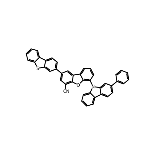 N#Cc1cc(-c2ccc3c(c2)sc2ccccc23)cc2c1oc1c(-n3c4ccccc4c4ccc(-c5ccccc5)cc43)cccc12